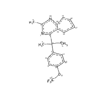 Cc1nc(C(C)(C)c2ccc(OC(F)(F)F)cc2)c2ccccc2n1